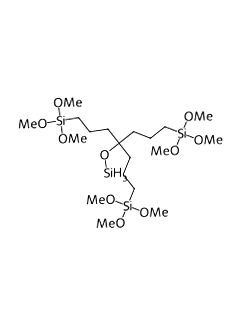 CO[Si](CCCC(CCC[Si](OC)(OC)OC)(CCC[Si](OC)(OC)OC)O[SiH3])(OC)OC